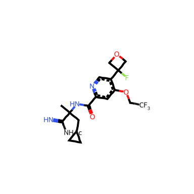 CC(=O)NC(=N)C(C)(CC1CC1)NC(=O)c1cc(OCC(F)(F)F)c(C2(F)COC2)cn1